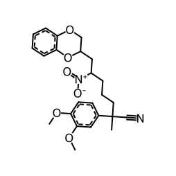 COc1ccc(C(C)(C#N)CCCC(CC2COc3ccccc3O2)[N+](=O)[O-])cc1OC